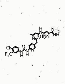 Cc1cc(Nc2cc(C(=N)N)n[nH]2)nc(Cc2ccc(NC(=O)Nc3ccc(Cl)c(C(F)(F)F)c3)nc2)n1